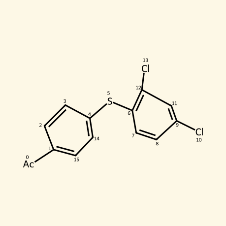 CC(=O)c1ccc(Sc2ccc(Cl)cc2Cl)cc1